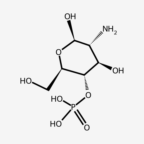 N[C@@H]1[C@@H](O)[C@H](OP(=O)(O)O)[C@@H](CO)O[C@H]1O